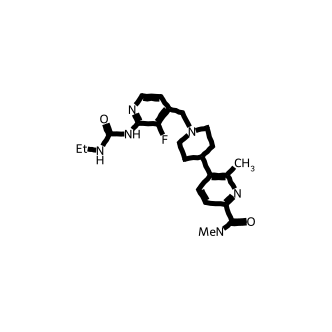 CCNC(=O)Nc1nccc(CN2CCC(c3ccc(C(=O)NC)nc3C)CC2)c1F